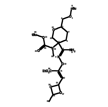 CCCCOCC1CCC(/C(N)=N/O/C(=C/C2OC(C)O2)C(=O)OCC)(N(C)C(=O)OC(C)(C)C)CO1